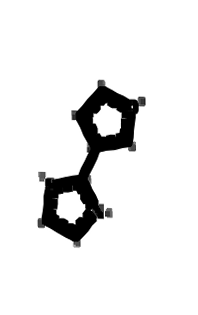 [c]1cc(-c2nccs2)co1